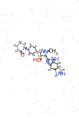 Cn1nc(-c2ccc(N3CCCCC3=O)cc2)c(O)c1-c1nc2cc3c(cc2[nH]1)CNC3